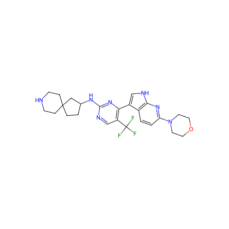 FC(F)(F)c1cnc(NC2CCC3(CCNCC3)C2)nc1-c1c[nH]c2nc(N3CCOCC3)ccc12